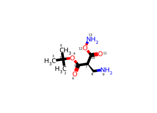 CC(C)(C)OC(=O)[C@H](CN)C(=O)ON